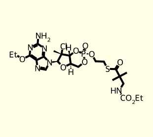 CCOC(=O)NCC(C)(C)C(=O)SCCO[P@]1(=O)OC[C@H]2O[C@@H](n3cnc4c(OCC)nc(N)nc43)[C@](C)(Cl)[C@@H]2O1